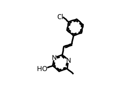 Cc1cc(O)nc(C=Cc2cccc(Cl)c2)n1